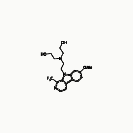 COc1ccc2c3ccnc(C(F)(F)F)c3n(CCN(CCO)CCO)c2c1